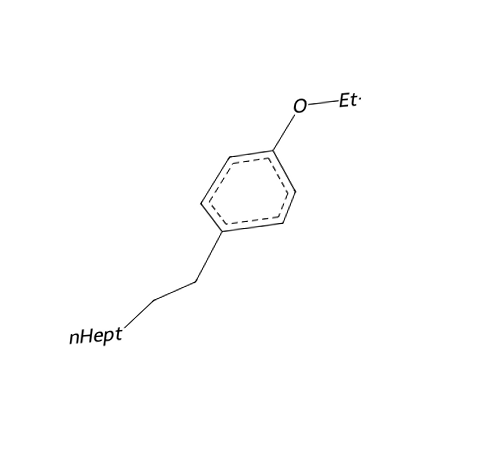 C[CH]Oc1ccc(CCCCCCCCC)cc1